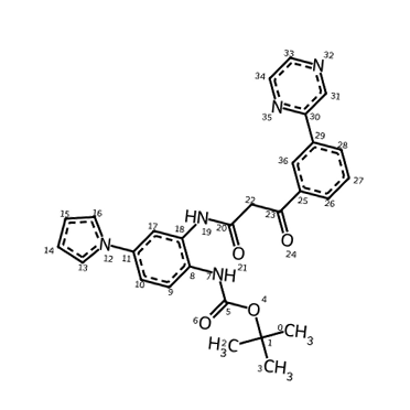 CC(C)(C)OC(=O)Nc1ccc(-n2cccc2)cc1NC(=O)CC(=O)c1cccc(-c2cnccn2)c1